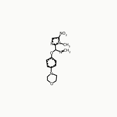 C=NC(Oc1ccc(N2CCOCC2)cc1)c1ncc([N+](=O)[O-])n1C